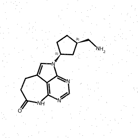 NC[C@@H]1CC[C@H](n2cc3c4c(ncnc42)NC(=O)CC3)C1